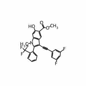 COC(=O)c1cc2c(C#Cc3cc(F)cc(F)c3)c(-c3ccccc3C(F)(F)F)n(C)c2cc1O